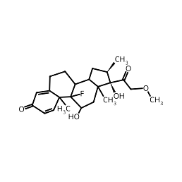 COCC(=O)[C@@]1(O)[C@H](C)CC2C3CCC4=CC(=O)C=CC4(C)C3(F)C(O)CC21C